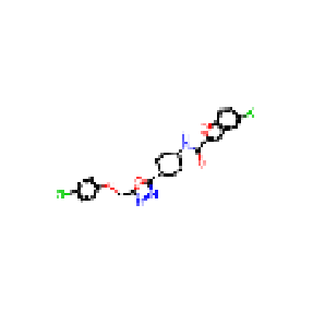 O=C(N[C@H]1CC[C@H](c2nnc(COc3ccc(Cl)cc3)o2)CC1)c1cc2cc(Cl)ccc2o1